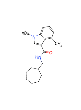 CCCCn1cc(C(=O)NCC2CCCCCC2)c2c(C)cccc21